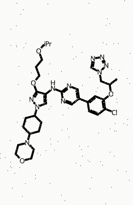 CC(C)OCCCOc1nn(C2CCC(N3CCOCC3)CC2)cc1Nc1ncc(-c2ccc(Cl)c(OC(C)Cn3cnnn3)c2)cn1